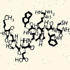 CCCC[C@@H]1NC(=O)N(CC(=O)N[C@@H](CS)C(=O)N[C@@H](CCC(=O)O)C(=O)N[C@@H](Cc2cnc[nH]2)C(=O)N[C@H](Cc2ccc3ccccc3c2)C(=O)N[C@@H](CCCNC(=N)N)C(=O)N[C@@H](Cc2c[nH]c3ccccc23)C(=O)N[C@@H](CS)C(N)=O)C1=O